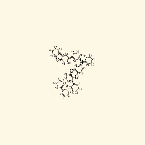 C1=CC(C2(c3ccccc3)c3ccccc3-c3c2ccc2c3Oc3ccc(N(c4ccccc4)c4cccc(-c5ccc6oc7ccccc7c6c5)c4)cc3O2)=CCC1